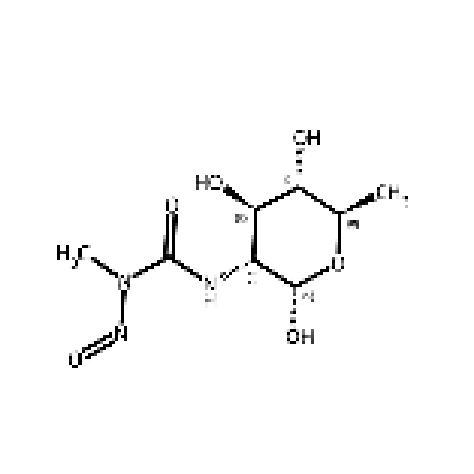 C[C@H]1O[C@H](O)[C@H](NC(=O)N(C)N=O)[C@@H](O)[C@@H]1O